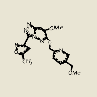 COCc1ccc(COc2nn3c(-c4cc(C)on4)nnc3cc2OC)nc1